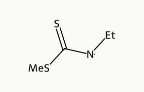 CC[N]C(=S)SC